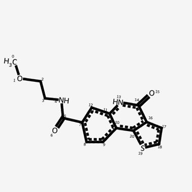 COCCNC(=O)c1ccc2c(c1)[nH]c(=O)c1ccsc12